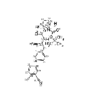 CC(C)(C)OC(=O)N1C(C(=O)N[C@H](C#N)Cc2ccc(-c3ccc(F)c(C#N)c3)cc2)[C@H]2CC[C@@H]1C2